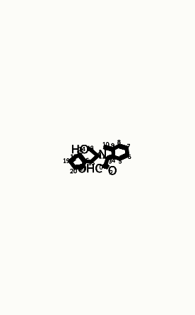 O=CC(=O)c1c2ccccc2cn1C(CO)Cc1ccccc1